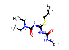 CCCSC(=NC(=O)N(CC)CC)NC(=O)NC